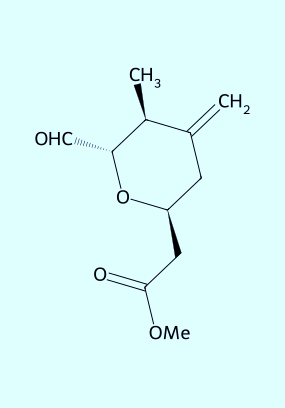 C=C1C[C@@H](CC(=O)OC)O[C@H](C=O)[C@H]1C